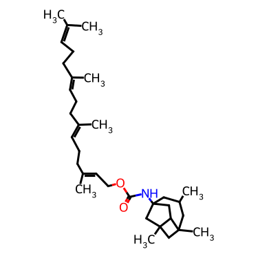 CC(C)=CCC/C(C)=C/CC/C(C)=C/CC/C(C)=C/COC(=O)NC12CC(C)CC3(C)CC(C)(C1)C3C2